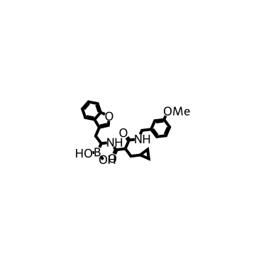 COc1cccc(CNC(=O)C(CC2CC2)C(=O)NC(Cc2coc3ccccc23)B(O)O)c1